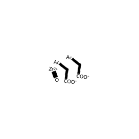 CC(=O)CC(=O)[O-].CC(=O)CC(=O)[O-].[O]=[Zr+2]